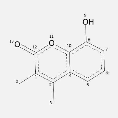 Cc1c(C)c2cccc(O)c2oc1=O